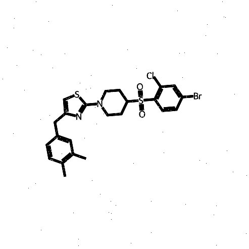 Cc1ccc(Cc2csc(N3CCC(S(=O)(=O)c4ccc(Br)cc4Cl)CC3)n2)cc1C